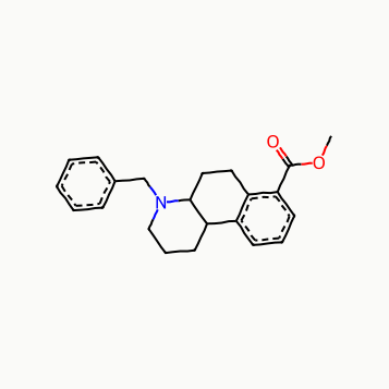 COC(=O)c1cccc2c1CCC1C2CCCN1Cc1ccccc1